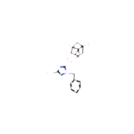 CC(=O)c1cn(Cc2ccccc2)c(B2OC3[C@@H]4C[C@H](C[C@]3(C)O2)C4(C)C)n1